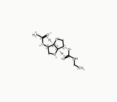 CCNC(=O)O[C@H]1CO[C@H]2[C@@H]1OC[C@H]2OC(N)=O